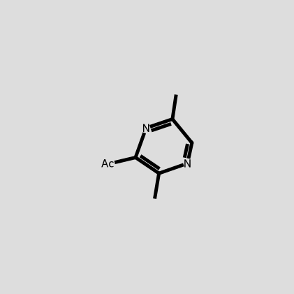 CC(=O)c1nc(C)cnc1C